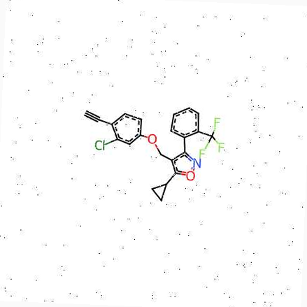 C#Cc1ccc(OCc2c(-c3ccccc3C(F)(F)F)noc2C2CC2)cc1Cl